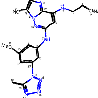 COCCNc1cc(Nc2cc(OC)cc(-n3nnnc3C)c2)nn2c(C#N)cnc12